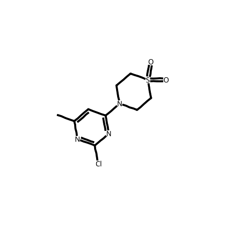 Cc1cc(N2CCS(=O)(=O)CC2)nc(Cl)n1